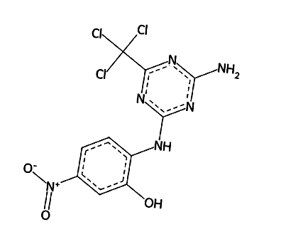 Nc1nc(Nc2ccc([N+](=O)[O-])cc2O)nc(C(Cl)(Cl)Cl)n1